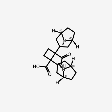 CN1[C@@H]2CC[C@H]1CC(C1(C(=O)O)CCC1(C(=O)O)C1C[C@H]3CC[C@@H](C1)N3C)C2